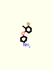 Cc1c(Br)cccc1Oc1ccc(N)cc1